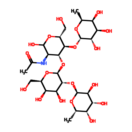 CC(=O)N[C@H]1C(O)O[C@H](CO)[C@@H](O[C@@H]2O[C@@H](C)[C@@H](O)[C@@H](O)[C@@H]2O)[C@@H]1O[C@@H]1O[C@H](CO)[C@H](O)[C@H](O)[C@H]1O[C@@H]1O[C@@H](C)[C@@H](O)[C@@H](O)[C@@H]1O